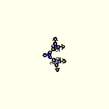 Cc1cccc(C)c1-c1ccc2c(c1)c1cc(-c3c(C)cccc3C)ccc1n2-c1c(C#N)cc(-c2ccc3c(c2)c2cc(-c4cc(C#N)c(-n5c6ccc(-c7c(C)cccc7C)cc6c6cc(-c7c(C)cccc7C)ccc65)c(C#N)c4)ccc2n3-c2ccccc2)cc1C#N